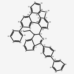 CCC1c2ccccc2C(c2ccc(-c3ccccc3)cc2)=NC1c1ccc2oc3cccc4c5ccc(-c6ccccc6)cc5c1c2c34